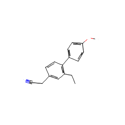 CCc1cc(CC#N)ccc1-c1ccc(OC)cc1